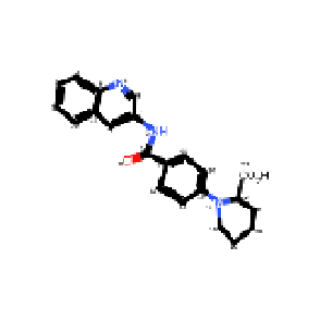 O=C(Nc1cnc2ccccc2c1)c1ccc(N2CCCCC2C(=O)O)cc1